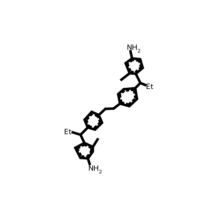 CCC(c1ccc(CCc2ccc(C(CC)c3ccc(N)cc3C)cc2)cc1)c1ccc(N)cc1C